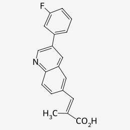 C/C(=C\c1ccc2ncc(-c3cccc(F)c3)cc2c1)C(=O)O